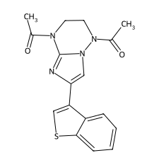 CC(=O)N1CCN(C(C)=O)n2cc(-c3csc4ccccc34)nc21